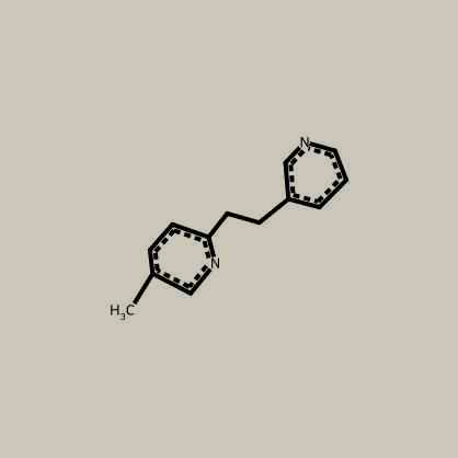 Cc1ccc(CCc2cccnc2)nc1